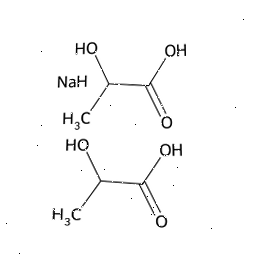 CC(O)C(=O)O.CC(O)C(=O)O.[NaH]